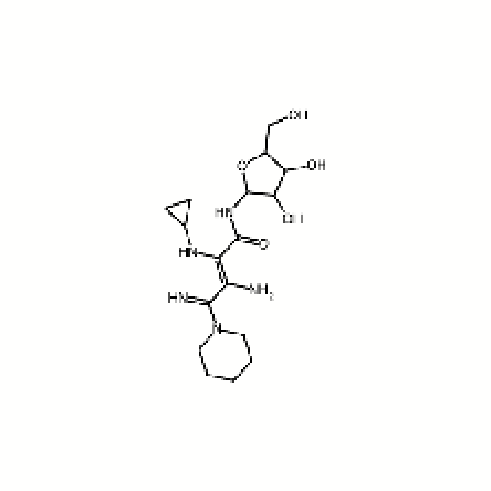 N=C(/C(N)=C(\NC1CC1)C(=O)NC1OC(CO)C(O)C1O)N1CCCCC1